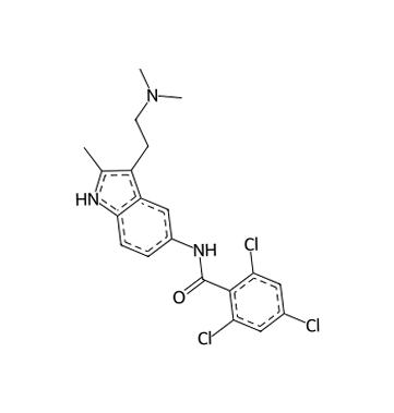 Cc1[nH]c2ccc(NC(=O)c3c(Cl)cc(Cl)cc3Cl)cc2c1CCN(C)C